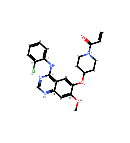 C=CC(=O)N1CCC(Oc2cc3c(Nc4ccccc4Cl)ncnc3cc2OC)CC1